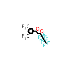 O=C(CC(=O)C(F)(F)C(F)(F)C(F)(F)C(F)F)c1cc(C(F)(F)F)cc(C(F)(F)F)c1